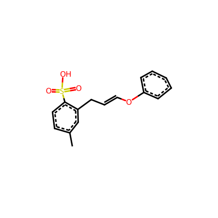 Cc1ccc(S(=O)(=O)O)c(CC=COc2ccccc2)c1